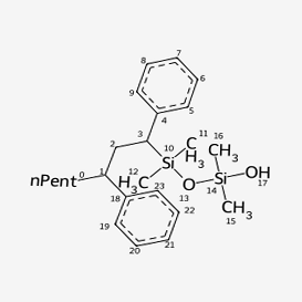 CCCCCC(CC(c1ccccc1)[Si](C)(C)O[Si](C)(C)O)c1ccccc1